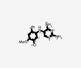 COc1cc(C(C)C)c(Nc2cnc(N)nc2N)cc1Cl